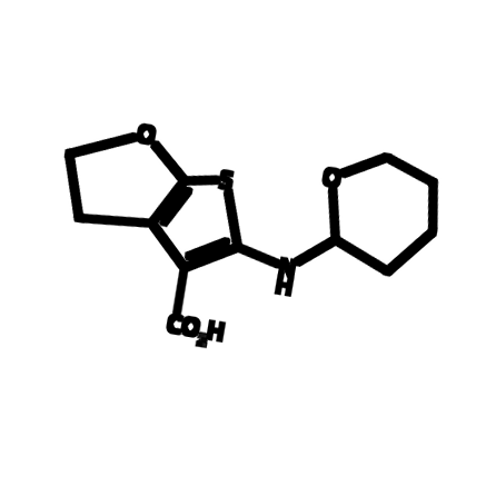 O=C(O)c1c(NC2CCCCO2)sc2c1CCO2